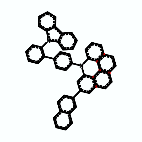 c1ccc(-c2ccccc2N(c2ccc(-c3ccccc3-n3c4ccccc4c4ccccc43)cc2)c2cc(-c3ccc4ccccc4c3)ccc2-c2ccccc2)cc1